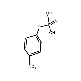 O=[N+]([O-])c1ccc(SP(O)(O)=S)cc1